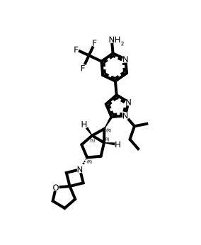 CCC(C)n1nc(-c2cnc(N)c(C(F)(F)F)c2)cc1[C@H]1[C@@H]2C[C@H](N3CC4(CCCO4)C3)C[C@@H]21